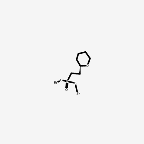 CCOP(=O)(CC[C@H]1CCCCO1)OCC